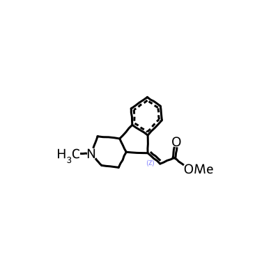 COC(=O)/C=C1\c2ccccc2C2CN(C)CCC12